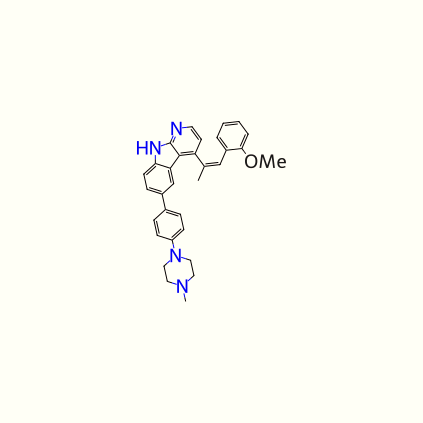 COc1ccccc1/C=C(/C)c1ccnc2[nH]c3ccc(-c4ccc(N5CCN(C)CC5)cc4)cc3c12